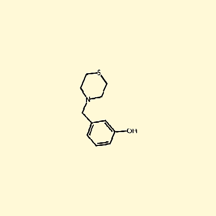 Oc1cccc(CN2CCSCC2)c1